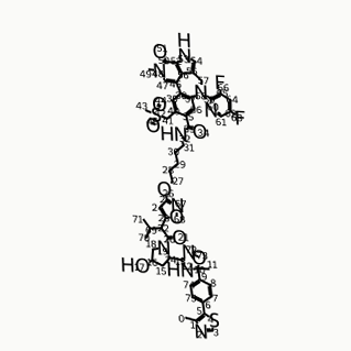 Cc1ncsc1-c1ccc(C2(C)NC(C3CC(O)CN3C(=O)C(c3cc(OCCCCCNC(=O)c4cc5c(cc4CS(C)(=O)=O)-c4cn(C)c(=O)c6[nH]cc(c46)CN5c4ncc(F)cc4F)no3)C(C)C)=NO2)cc1